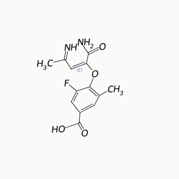 CC(=N)/C=C(/Oc1c(C)cc(C(=O)O)cc1F)C(N)=O